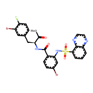 COC(=O)[C@H](Cc1ccc(F)c(Br)c1)NC(=O)c1ccc(Br)cc1NS(=O)(=O)c1cccc2nccnc12